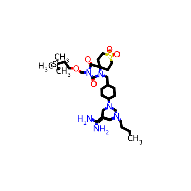 CCCCN1CC(=C(N)N)CN(C2CCC(CN3C(=O)N(COCC[Si](C)(C)C)C(=O)C34CCS(=O)(=O)CC4)CC2)C1